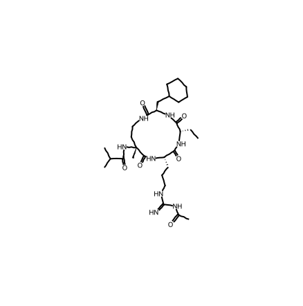 CC[C@@H]1NC(=O)[C@H](CCCNC(=N)NC(C)=O)NC(=O)[C@](C)(NC(=O)C(C)C)CCNC(=O)[C@@H](CC2CCCCC2)NC1=O